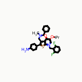 CC(C)Oc1cn(Cc2c(F)cccc2F)c2sc(-c3ccc(N)cc3)c(CN(C)Cc3ccccc3)c2c1=O